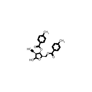 C#C[C@@H]1C(O)O[C@H](COC(=O)c2ccc(C)cc2)[C@H]1OC(=O)c1ccc(C)cc1